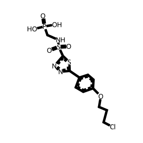 O=P(O)(O)CNS(=O)(=O)c1nnc(-c2ccc(OCCCCl)cc2)s1